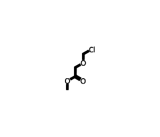 COC(=O)COCCl